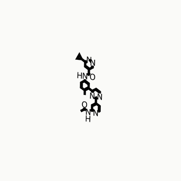 CC(=O)Nc1cc(-c2nccc(-c3cc(NC(=O)c4cnnc(C5CC5)c4)ccc3C)n2)ccn1